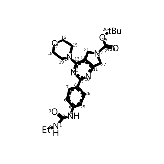 CCNC(=O)Nc1ccc(-c2nc3c(c(N4CCOCC4)n2)CN(C(=O)OC(C)(C)C)C3)cc1